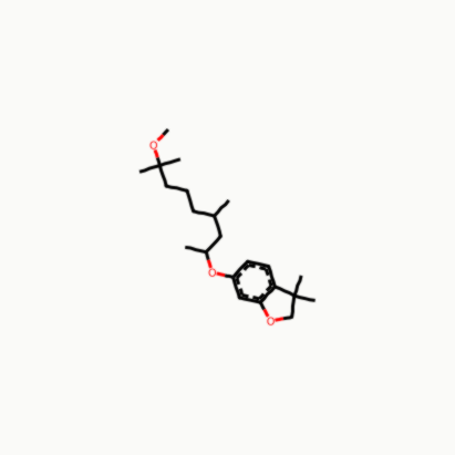 COC(C)(C)CCCC(C)CC(C)Oc1ccc2c(c1)OCC2(C)C